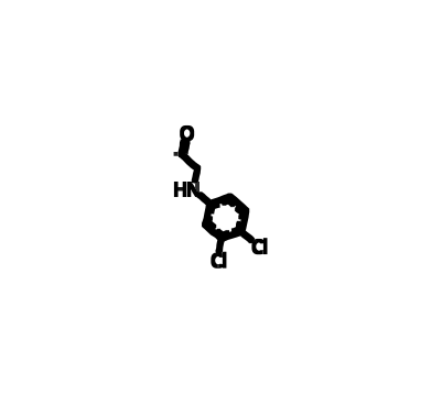 O=[C]CNc1ccc(Cl)c(Cl)c1